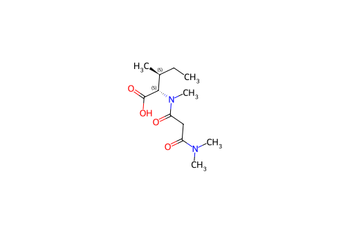 CC[C@H](C)[C@@H](C(=O)O)N(C)C(=O)CC(=O)N(C)C